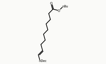 CCCCCCCCCCC=CCCCCCCCC(=O)OCCCC